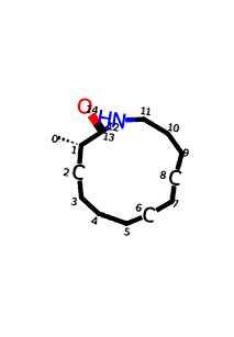 C[C@H]1CCCCCCCCCCNC1=O